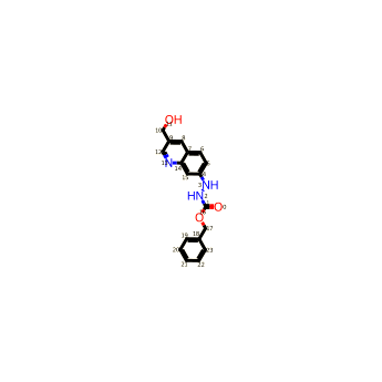 O=C(NNc1ccc2cc(CO)cnc2c1)OCc1ccccc1